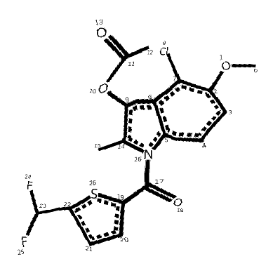 COc1ccc2c(c1Cl)c(OC(C)=O)c(C)n2C(=O)c1ccc(C(F)F)s1